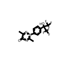 Cc1nn(-c2ccc(C(O)(C(F)(F)F)C(F)(F)F)cc2)c(C)nc1=O